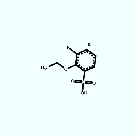 CCOc1c(F)cccc1S(=O)(=O)O.Cl